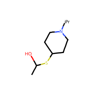 CC(O)SC1CCN(C(C)C)CC1